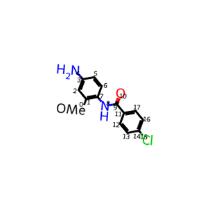 COc1cc(N)ccc1NC(=O)c1ccc(Cl)cc1